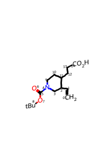 C=CC1CN(C(=O)OC(C)(C)C)CCC1CCC(=O)O